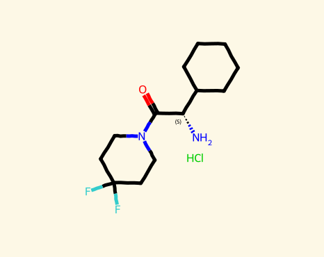 Cl.N[C@H](C(=O)N1CCC(F)(F)CC1)C1CCCCC1